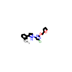 Cc1cccc(C2C=CN(c3cc(Cl)nc(OCC4CCCO4)n3)N2)c1